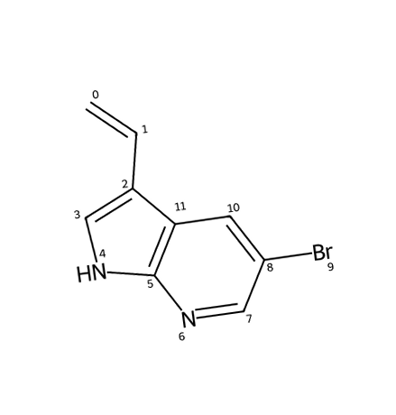 C=Cc1c[nH]c2ncc(Br)cc12